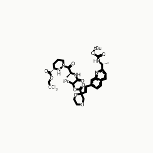 CC(C)C(OC(=O)C1(/C=C/c2ccc3ccc([C@@H](C)NC(=O)OC(C)(C)C)nc3c2)COCCO1)C(=O)N[C@@H](C)C(=O)N1CCC[C@@H](C(=O)OCC(Cl)(Cl)Cl)N1